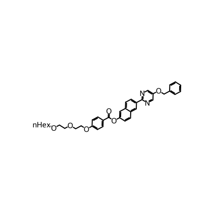 CCCCCCOCCOCCOc1ccc(C(=O)Oc2ccc3cc(-c4ncc(OCc5ccccc5)cn4)ccc3c2)cc1